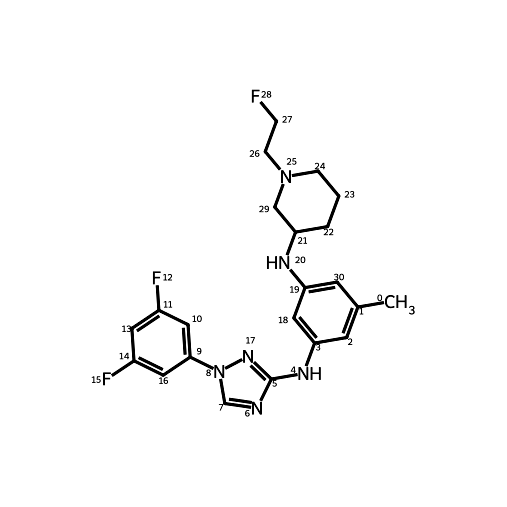 Cc1cc(Nc2ncn(-c3cc(F)cc(F)c3)n2)cc(NC2CCCN(CCF)C2)c1